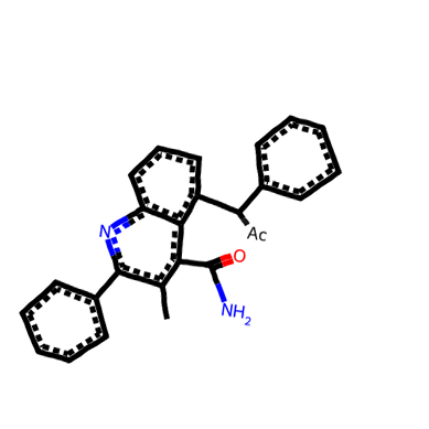 CC(=O)C(c1ccccc1)c1cccc2nc(-c3ccccc3)c(C)c(C(N)=O)c12